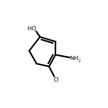 NC1=C(Cl)C[CH]C(O)=C1